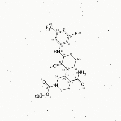 CC(C)(C)OC(=O)N1CC[C@H](C(N)=O)[C@@H](N2CCCC(Nc3cc(F)cc(C(F)(F)F)c3)C2=O)C1